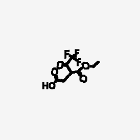 CCOC(=O)C(CC(=O)O)C(=O)C(F)(F)F